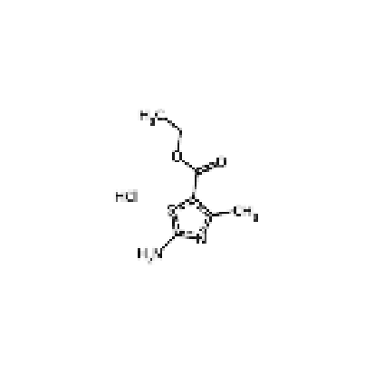 CCOC(=O)c1sc(N)nc1C.Cl